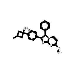 CCCOC1=NC2=NC(c3ccc(C4(N)CC(C)C4)cc3)C(c3ccccc3)N2C=C1